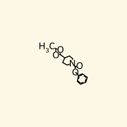 CC1OC(C2CCN(C(=O)Oc3ccccc3)CC2)O1